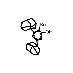 CC(C)(C)c1c(O)cc(C23CC4CC(CC(C4)C2)C3)cc1C12CC3CC(CC(C3)C1)C2